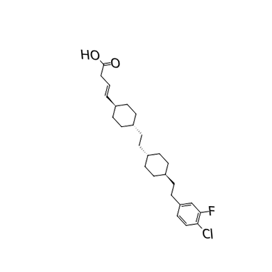 O=C(O)CC=C[C@H]1CC[C@H](CC[C@H]2CC[C@H](CCc3ccc(Cl)c(F)c3)CC2)CC1